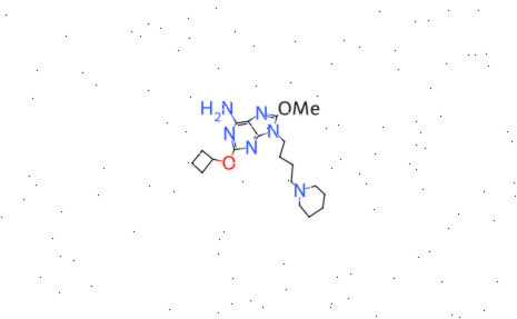 COc1nc2c(N)nc(OC3CCC3)nc2n1CCCCN1CCCCC1